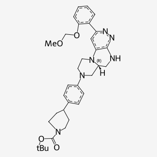 COCOc1ccccc1-c1cc2c(nn1)NC[C@@H]1CN(c3ccc(C4CCN(C(=O)OC(C)(C)C)CC4)cc3)CCN21